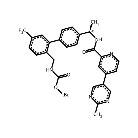 Cc1ncc(-c2ccnc(C(=O)N[C@H](C)c3ccc(-c4cc(C(F)(F)F)ccc4CNC(=O)OC(C)(C)C)cc3)c2)cn1